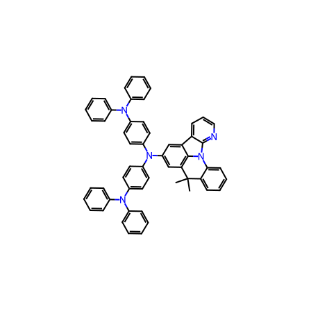 CC1(C)c2ccccc2-n2c3ncccc3c3cc(N(c4ccc(N(c5ccccc5)c5ccccc5)cc4)c4ccc(N(c5ccccc5)c5ccccc5)cc4)cc1c32